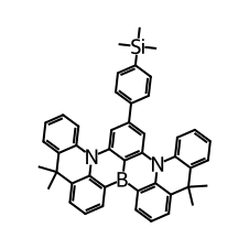 CC1(C)c2ccccc2N2c3cc(-c4ccc([Si](C)(C)C)cc4)cc4c3B(c3cccc1c32)c1cccc2c1N4c1ccccc1C2(C)C